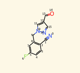 N#Cc1ccc(F)cc1Cn1cc(C=O)cn1